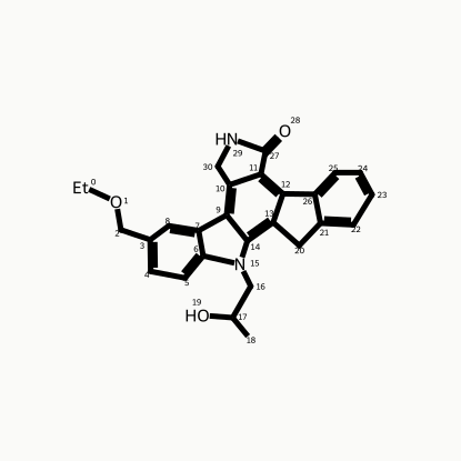 CCOCc1ccc2c(c1)c1c3c(c4c(c1n2CC(C)O)Cc1ccccc1-4)C(=O)NC3